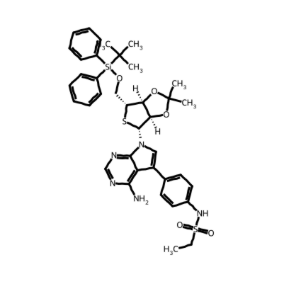 CCS(=O)(=O)Nc1ccc(-c2cn([C@@H]3S[C@H](CO[Si](c4ccccc4)(c4ccccc4)C(C)(C)C)[C@H]4OC(C)(C)O[C@H]43)c3ncnc(N)c23)cc1